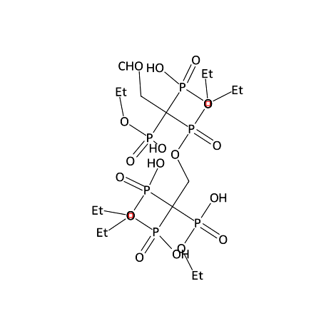 CCOP(=O)(O)C(COP(=O)(OCC)C(CC=O)(P(=O)(O)OCC)P(=O)(O)OCC)(P(=O)(O)OCC)P(=O)(O)OCC